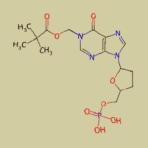 CC(C)(C)C(=O)OCn1cnc2c(ncn2C2CCC(COP(=O)(O)O)O2)c1=O